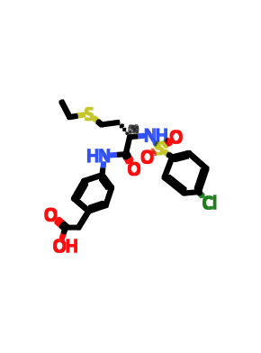 CCSCC[C@H](NS(=O)(=O)c1ccc(Cl)cc1)C(=O)Nc1ccc(CC(=O)O)cc1